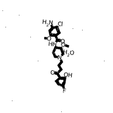 COc1cc(N)c(Cl)cc1C(=O)N[C@H]1CCN(CCCC(=O)c2ccc(F)cc2O)C[C@H]1OC.O